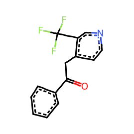 O=C(Cc1ccncc1C(F)(F)F)c1ccccc1